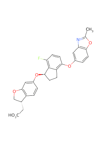 Cc1nc2cc(Oc3ccc(F)c4c3CC[C@H]4Oc3ccc4c(c3)OC[C@H]4CC(=O)O)ccc2o1